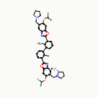 Cc1c(-c2nc3cc(CN4CCC[C@H]4C(=O)O)c(OC(F)F)cc3o2)cccc1-c1cccc(-c2nc3cc(CN4CCCC4)c(OC(F)F)cc3o2)c1C#N